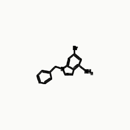 Nc1cc(Br)cc2c1ccn2Cc1ccccc1